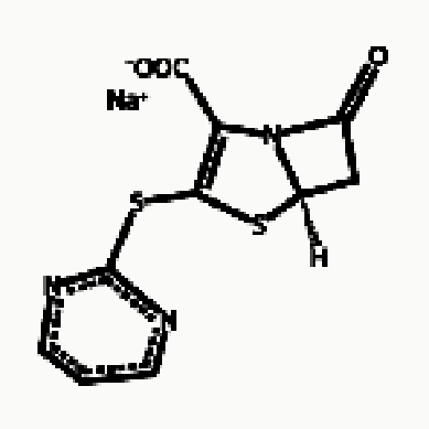 O=C([O-])C1=C(Sc2ncccn2)S[C@@H]2CC(=O)N12.[Na+]